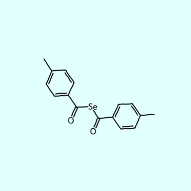 Cc1ccc(C(=O)[Se]C(=O)c2ccc(C)cc2)cc1